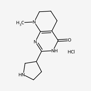 CN1CCCc2c1nc(C1CCNC1)[nH]c2=O.Cl